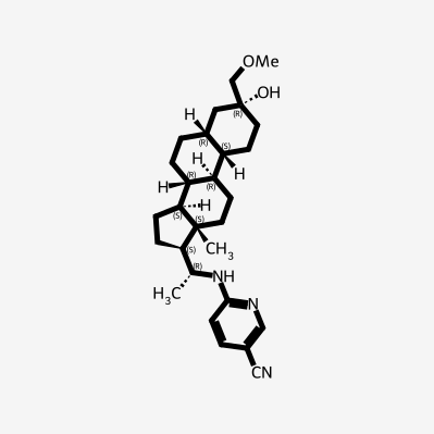 COC[C@@]1(O)CC[C@H]2[C@H](CC[C@@H]3[C@@H]2CC[C@]2(C)[C@@H]([C@@H](C)Nc4ccc(C#N)cn4)CC[C@@H]32)C1